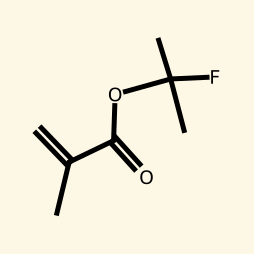 C=C(C)C(=O)OC(C)(C)F